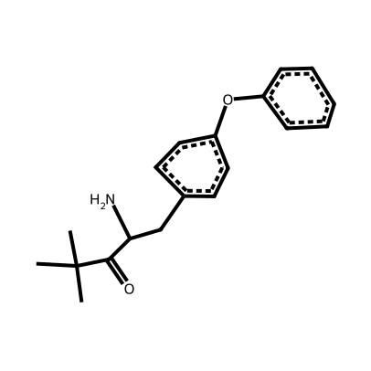 CC(C)(C)C(=O)C(N)Cc1ccc(Oc2ccccc2)cc1